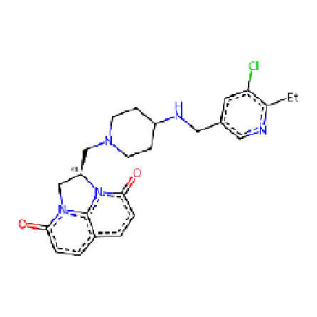 CCc1ncc(CNC2CCN(C[C@@H]3Cn4c(=O)ccc5ccc(=O)n3c54)CC2)cc1Cl